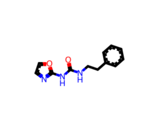 O=C(NCCc1ccccc1)Nc1ncco1